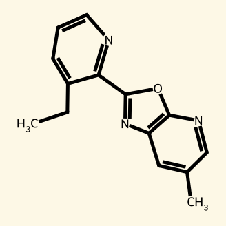 CCc1cccnc1-c1nc2cc(C)cnc2o1